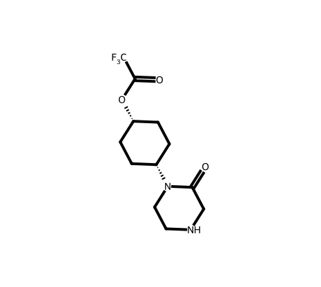 O=C1CNCCN1[C@H]1CC[C@@H](OC(=O)C(F)(F)F)CC1